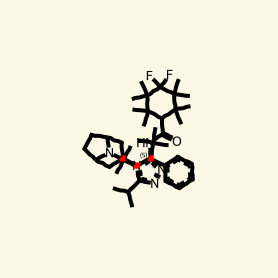 CC(C)c1nnc(C(C)(C)C)n1C1CC2CCC(C1)N2C(C)(C)C[C@H](NC(=O)C1C(C)(C)C(C)(C)C(F)(F)C(C)(C)C1(C)C)c1ccccc1